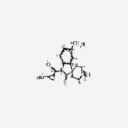 CC(C)(C)OC(=O)N1C(=O)C2(CCNCC2)c2cc(C(=O)O)ccc21